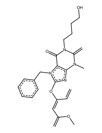 C=C/C(=C\C(=C)OC)Oc1nc2c(n1Cc1ccccc1)C(=O)N(CCCCO)C(=C)N2C